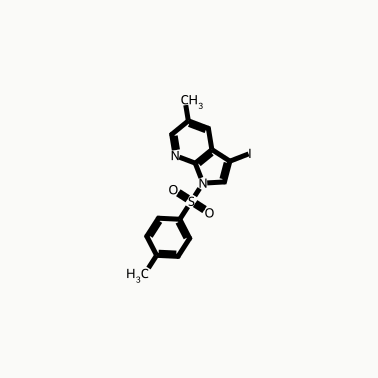 Cc1ccc(S(=O)(=O)n2cc(I)c3cc(C)cnc32)cc1